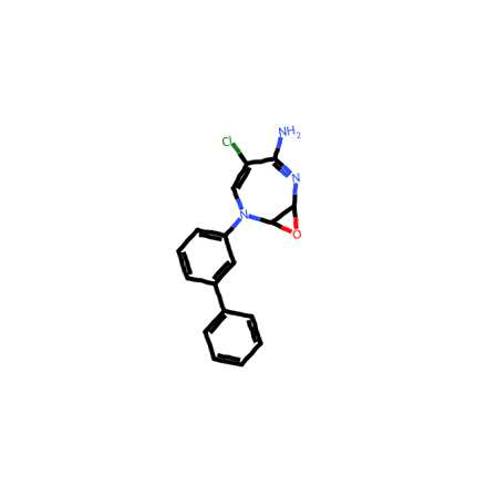 NC1=NC2OC2N(c2cccc(-c3ccccc3)c2)C=C1Cl